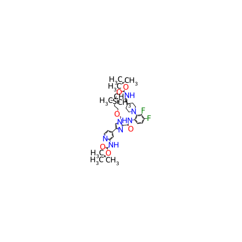 CC(C)(C)OC(=O)NCC1CCN(c2c(NC(=O)c3nc(-c4ccnc(NC(=O)OC(C)(C)C)c4)cn3COCC[Si](C)(C)C)ccc(F)c2F)CC1